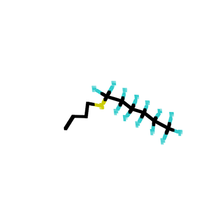 CCCCSC(F)(F)C(F)(F)C(F)(F)C(F)(F)C(F)(F)C(F)(F)F